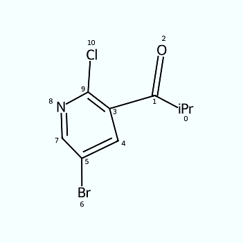 CC(C)C(=O)c1cc(Br)cnc1Cl